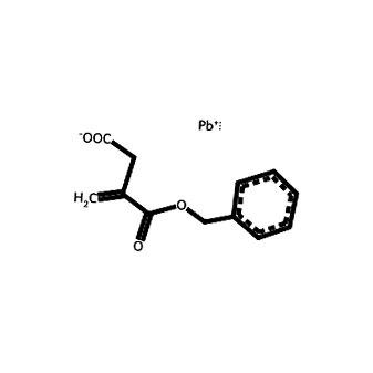 C=C(CC(=O)[O-])C(=O)OCc1ccccc1.[Pb+]